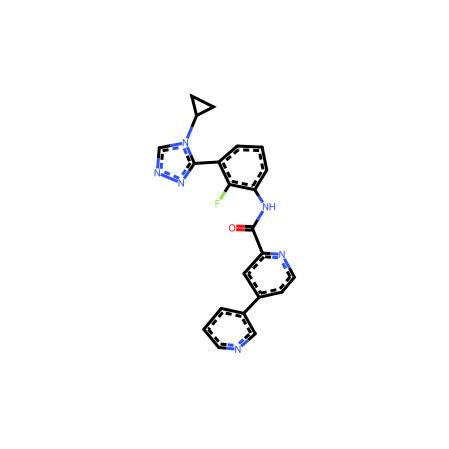 O=C(Nc1cccc(-c2nncn2C2CC2)c1F)c1cc(-c2cccnc2)ccn1